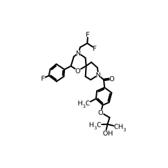 Cc1cc(C(=O)N2CCC3(CC2)CN(CC(F)F)CC(c2ccc(F)cc2)O3)ccc1OCC(C)(C)O